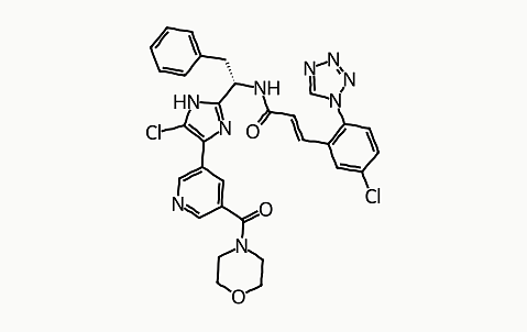 O=C(/C=C/c1cc(Cl)ccc1-n1cnnn1)N[C@@H](Cc1ccccc1)c1nc(-c2cncc(C(=O)N3CCOCC3)c2)c(Cl)[nH]1